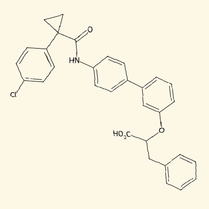 O=C(O)C(Cc1ccccc1)Oc1cccc(-c2ccc(NC(=O)C3(c4ccc(Cl)cc4)CC3)cc2)c1